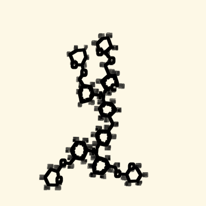 c1cc(COC2CCCCO2)cc(N(c2ccc(Cc3ccc(N(c4cccc(COC5CCCCO5)c4)c4cccc(COC5CCCCO5)c4)cc3)cc2)c2cccc(COC3CCCCO3)c2)c1